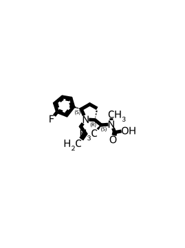 C=CCN1[C@@H]([C@H](C)N(C)C(=O)O)CC[C@H]1c1cccc(F)c1